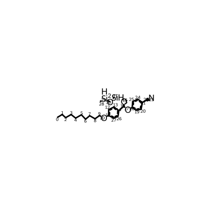 CCCCCCCCCCOc1ccc(C(=O)Oc2ccc(C#N)cc2)cc1.C[SiH2]O[SiH3]